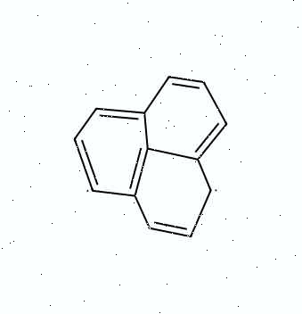 [c]1ccc2cccc3c2c1C=C[CH]3